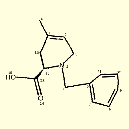 CC1=CCN(Cc2ccccc2)[C@@H](C(=O)O)C1